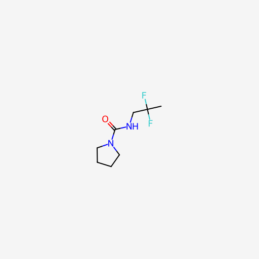 CC(F)(F)CNC(=O)N1CCCC1